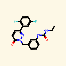 CCNC(=O)Nc1cccc(Cn2nc(-c3cc(F)ccc3F)ccc2=O)c1